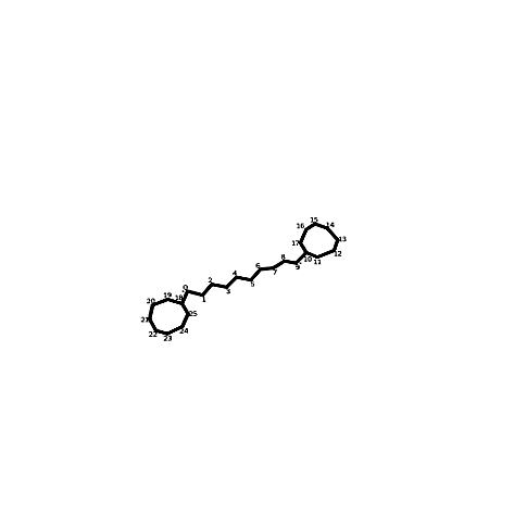 [CH](CCCCCCCC[CH]C1CCCCCCC1)C1CCCCCCC1